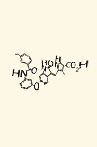 Cc1cccc(C(=O)Nc2cccc(Oc3ccc4c(c3)NC(=O)/C4=C\c3[nH]c(C)c(C(=O)O)c3C)c2)c1